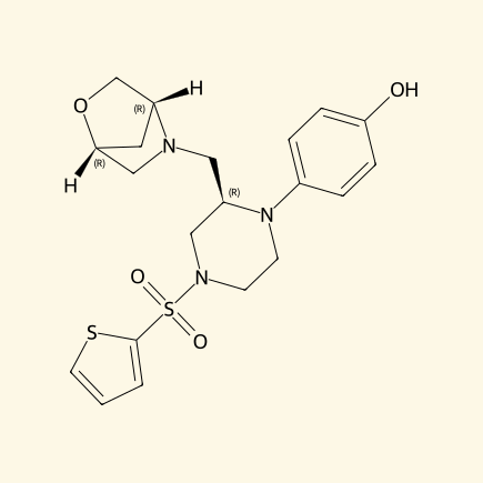 O=S(=O)(c1cccs1)N1CCN(c2ccc(O)cc2)[C@H](CN2C[C@H]3C[C@@H]2CO3)C1